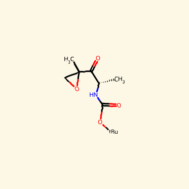 C[C@H](NC(=O)OC(C)(C)C)C(=O)C1(C)CO1